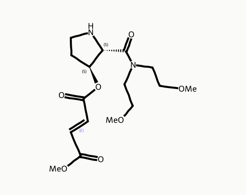 COCCN(CCOC)C(=O)[C@H]1NCC[C@@H]1OC(=O)/C=C/C(=O)OC